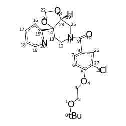 CC(C)(C)OCCOc1ccc(C(=O)N2CC[C@]3(c4ccccn4)OCO[C@@H]3C2)cc1Cl